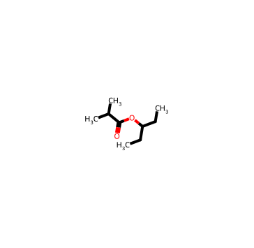 CCC(CC)OC(=O)C(C)C